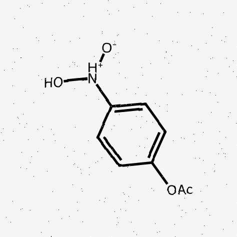 CC(=O)Oc1ccc([NH+]([O-])O)cc1